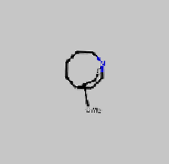 COC1CCN2CCCCC1CC2